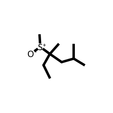 CCC(C)(CC(C)C)[S+](C)[O-]